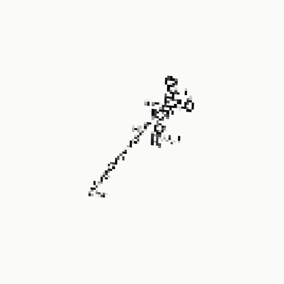 COCCOCCOCCOCCOCCOCCOCCNCCCC[C@@H](NC(=O)[C@@H](CC(C)C)NC(=O)[C@@H](Cc1ccccc1)NC(=O)[C@H](N)Cc1ccccc1)C(=O)N1CCC(N)(C(=O)O)CC1